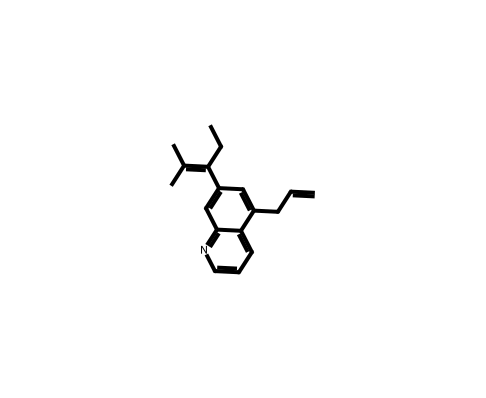 C=CCc1cc(C(CC)=C(C)C)cc2ncccc12